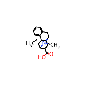 CC[C@@]12CC3C(C(=O)O)CC1C(Cc1ccccc12)N3C